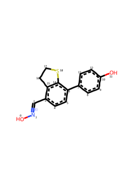 O/N=C/c1ccc(-c2ccc(O)cc2)c2c1CCS2